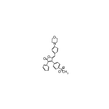 CS(=O)(=O)c1ccc(C2=C(c3ccccc3)C(=O)O/C2=C\c2ccc(N3CCOCC3)cc2)cc1